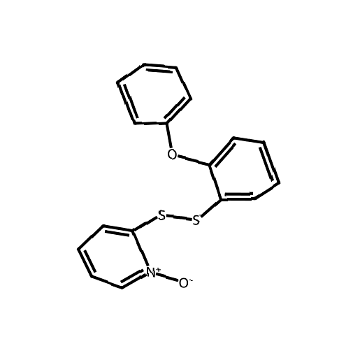 [O-][n+]1ccccc1SSc1ccccc1Oc1ccccc1